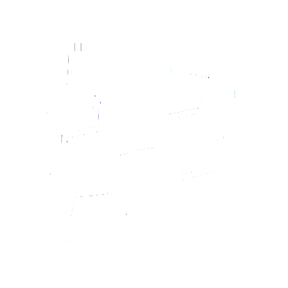 Cc1cn2cc(Br)c(C)c(-c3cccc(C(F)(F)F)c3)c2n1